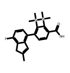 CC1=Cc2c(-c3ccc(C([NH])=O)c4c3[Si](C)(C)[Si]4(C)C)ccc(F)c2C1